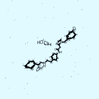 Cl.Cl.O=C(Cc1nccn1Cc1ccc(Cl)cc1)Nc1ccc(CCNC[C@H](O)c2ccccc2)cc1